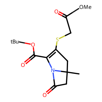 COC(=O)CSC1=C(C(=O)OC(C)(C)C)N2C(=O)CC2(C)C1